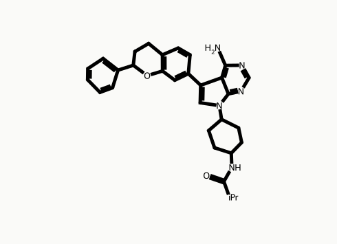 CC(C)C(=O)NC1CCC(n2cc(-c3ccc4c(c3)OC(c3ccccc3)CC4)c3c(N)ncnc32)CC1